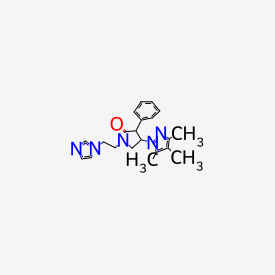 Cc1nn(C2CN(CCn3ccnc3)C(=O)C2c2ccccc2)c(C)c1C